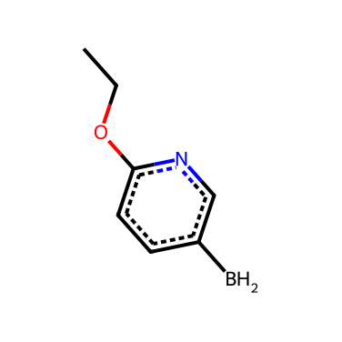 Bc1ccc(OCC)nc1